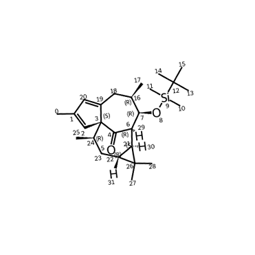 CC1=C[C@]23C(=O)[C@@H]([C@H](O[Si](C)(C)C(C)(C)C)[C@H](C)CC2=C1)[C@@H]1[C@@H](C[C@H]3C)C1(C)C